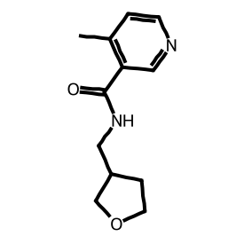 Cc1ccncc1C(=O)NCC1CCOC1